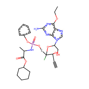 C#C[C@H](O)C(F)(COP(=O)(NC(C)C(=O)OC1CCCCC1)Oc1ccccc1)OC(CO)n1cnc2c(OCC)nc(N)nc21